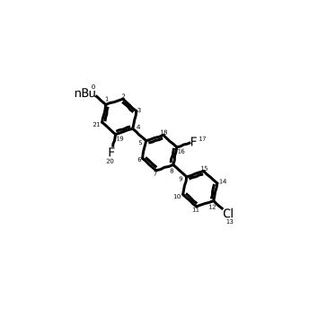 CCCCc1ccc(-c2ccc(-c3ccc(Cl)cc3)c(F)c2)c(F)c1